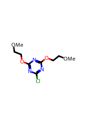 COCCOc1nc(Cl)nc(OCCOC)n1